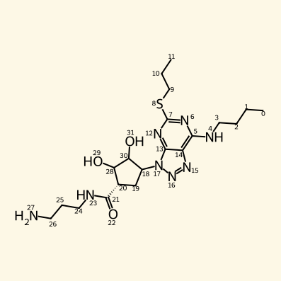 CCCCNc1nc(SCCC)nc2c1nnn2C1C[C@H](C(=O)NCCCN)C(O)C1O